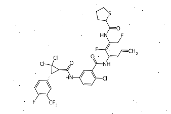 C=C/C=C(NC(=O)c1cc(NC(=O)[C@H]2[C@H](c3ccc(F)c(C(F)(F)F)c3)C2(Cl)Cl)ccc1Cl)\C(F)=C(/CF)NC(=O)C1CCCS1